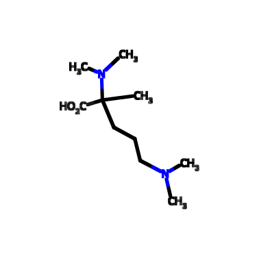 CN(C)CCCC(C)(C(=O)O)N(C)C